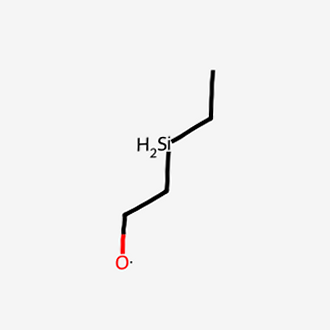 CC[SiH2]CC[O]